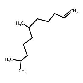 C=CCCCC(C)CCCC(C)C